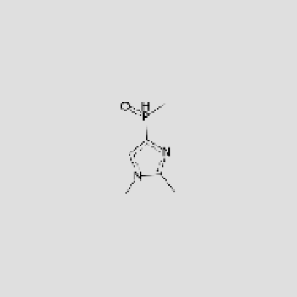 Cc1nc([PH](C)=O)cn1C